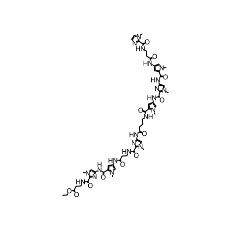 CCOC(=O)CCNC(=O)c1nc(NC(=O)c2cc(NC(=O)CCNC(=O)c3nc(NC(=O)CCCNC(=O)c4cc(NC(=O)c5nc(NC(=O)c6cc(NC(=O)CCNC(=O)c7nccn7C)cn6C)cn5C)cn4C)cn3C)cn2C)cn1C